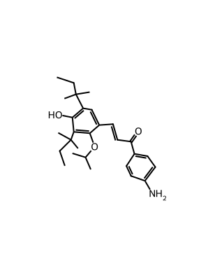 CCC(C)(C)c1cc(C=CC(=O)c2ccc(N)cc2)c(OC(C)C)c(C(C)(C)CC)c1O